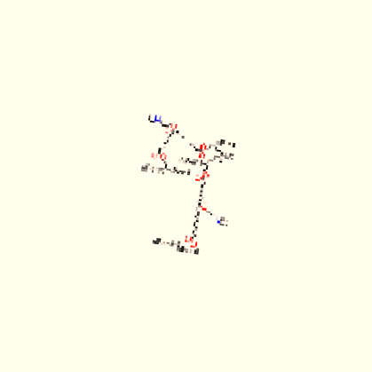 CCCCCC(CCCCC)CCOC(=O)CCCCCCCCC(CCCCCCC(=O)OCCC(CCCCC)CCCC(C)C(CC)CCC(CCCCC)CCOC(=O)CCCCCCCCC1(CCCCCCC(=O)OCCC(CCCCC)CCCCC)OCC(CCN2CCCCC2)O1)OCCCCN(C)CC